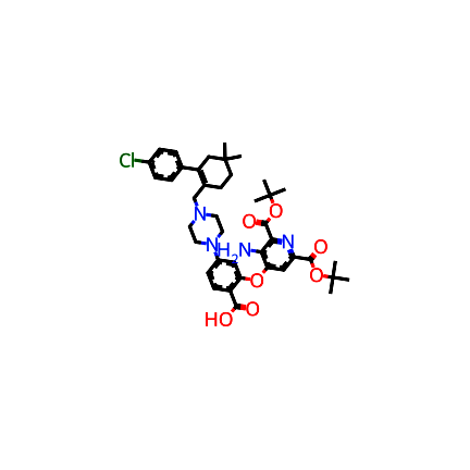 CC1(C)CCC(CN2CCN(c3ccc(C(=O)O)c(Oc4cc(C(=O)OC(C)(C)C)nc(C(=O)OC(C)(C)C)c4N)c3)CC2)=C(c2ccc(Cl)cc2)C1